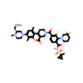 COC[C@H]1CN(c2cc(C)c3c4c(c(=O)oc3c2C)CN(C(=O)c2ccc(C(=O)NS(=O)(=O)C3(C)CC3)c(N3CCCC(F)(F)C3)c2F)CC4)CCN1C